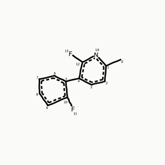 Cc1ccc(-c2ccccc2F)c(F)n1